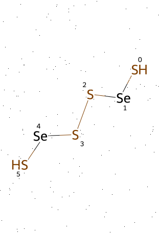 S[Se]SS[Se]S